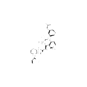 C=CC(=O)N1CCC[C@@H](NC(=O)c2sc3nccc4c3c2NC(=O)N4c2cccc(CC(C)C)c2)C1